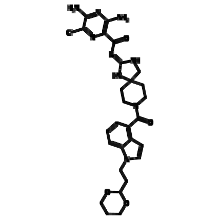 Nc1nc(N)c(C(=O)/N=C2\NCC3(CCN(C(=O)c4cccc5c4ccn5CCC4OCCCO4)CC3)N2)nc1Cl